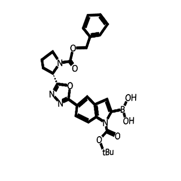 CC(C)(C)OC(=O)n1c(B(O)O)cc2cc(-c3nnc([C@@H]4CCCN4C(=O)OCc4ccccc4)o3)ccc21